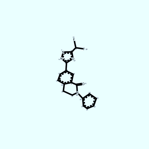 O=C1c2cc(-c3nnc(C(F)F)o3)ccc2CCN1c1ccccc1